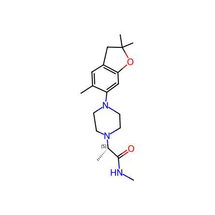 CNC(=O)[C@H](C)N1CCN(c2cc3c(cc2C)CC(C)(C)O3)CC1